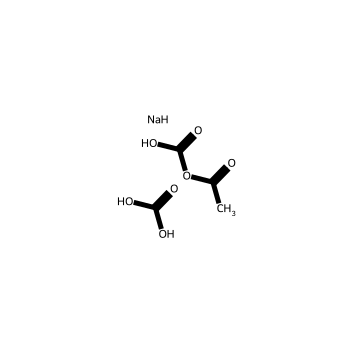 CC(=O)OC(=O)O.O=C(O)O.[NaH]